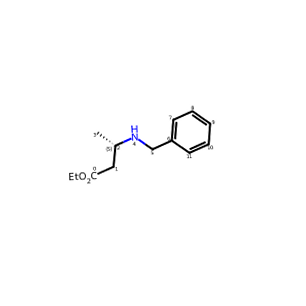 CCOC(=O)C[C@H](C)NCc1ccccc1